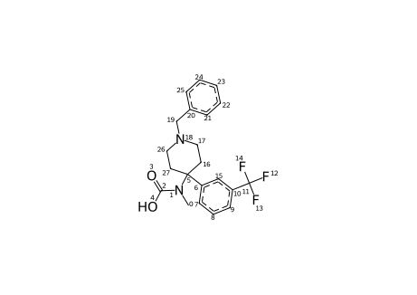 CN(C(=O)O)C1(c2cccc(C(F)(F)F)c2)CCN(Cc2ccccc2)CC1